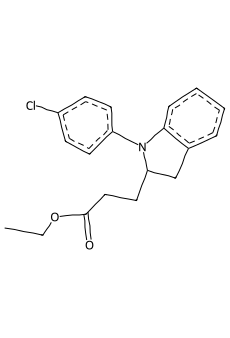 CCOC(=O)CCC1Cc2ccccc2N1c1ccc(Cl)cc1